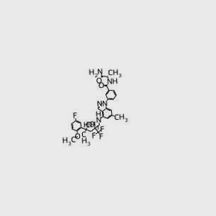 COc1ccc(F)cc1C(C)(C)CC(O)(CNc1cc(C)cc2c1cnn2-c1cccc(C(=O)N[C@@H](C)C(N)=O)c1)C(F)(F)F